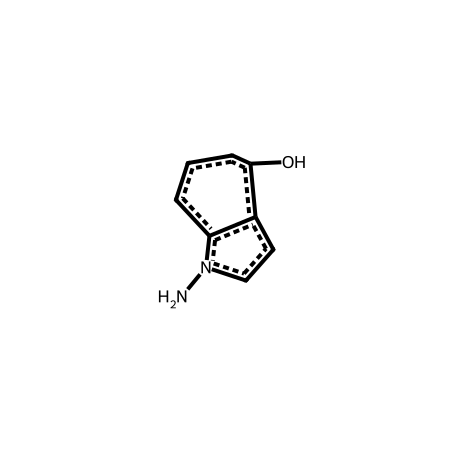 Nn1ccc2c(O)cccc21